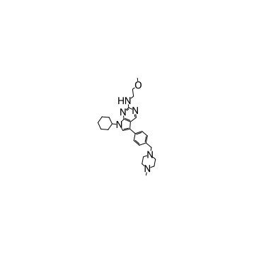 COCCNc1ncc2c(-c3ccc(CN4CCN(C)CC4)cc3)cn(C3CCCCC3)c2n1